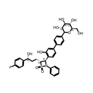 O=S1(=O)[C@H](CC[C@@H](O)c2ccc(F)cc2)[C@@H](c2ccc(-c3ccc(C4O[C@H](CO)[C@@H](O)[C@H](O)[C@H]4O)cc3)cc2O)N1c1ccccc1